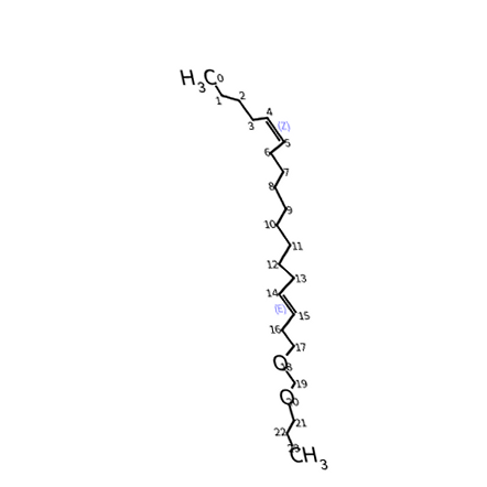 CCCC/C=C\CCCCCCCC/C=C/CCOCOCCC